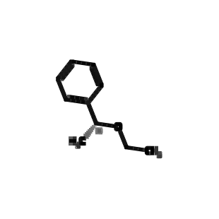 CCO[C@H](C)c1ccccc1